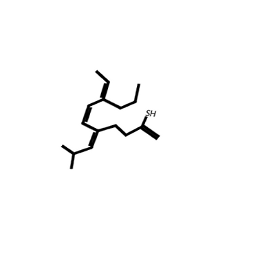 C=C(S)CCC(/C=C\C(=C/C)CCC)=C/C(C)C